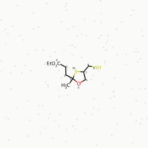 CCOC(=O)CCC1(C)OCC(CS)S1